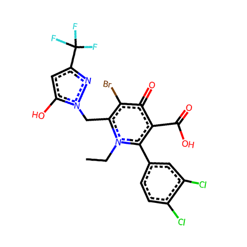 CCn1c(Cn2nc(C(F)(F)F)cc2O)c(Br)c(=O)c(C(=O)O)c1-c1ccc(Cl)c(Cl)c1